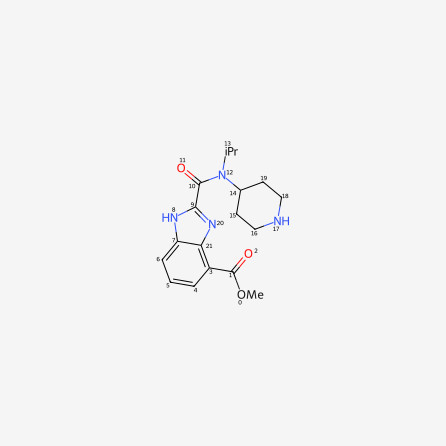 COC(=O)c1cccc2[nH]c(C(=O)N(C(C)C)C3CCNCC3)nc12